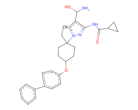 N#CCC1(n2cc(C(N)O)c(NC(=O)C3CC3)n2)CCC(Oc2ccc(-c3ccccc3)cc2)CC1